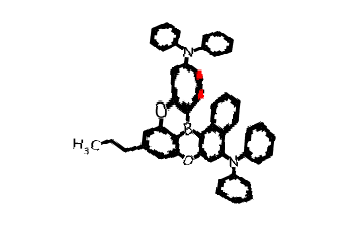 CCCc1cc2c3c(c1)Oc1cc(N(c4ccccc4)c4ccccc4)c4ccccc4c1B3c1c(cc(N(c3ccccc3)c3ccccc3)c3ccccc13)O2